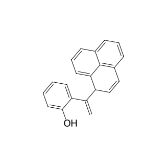 C=C(c1ccccc1O)C1C=Cc2cccc3cccc1c23